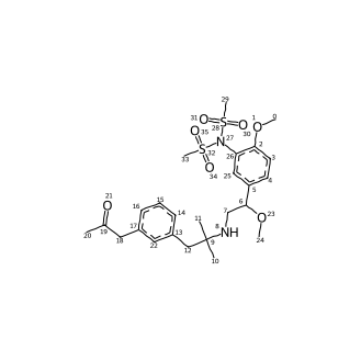 COc1ccc(C(CNC(C)(C)Cc2cccc(CC(C)=O)c2)OC)cc1N(S(C)(=O)=O)S(C)(=O)=O